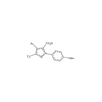 CCOC(=O)c1c(C(C)=O)c(C(F)(F)F)nn1-c1ccc(OC)cc1